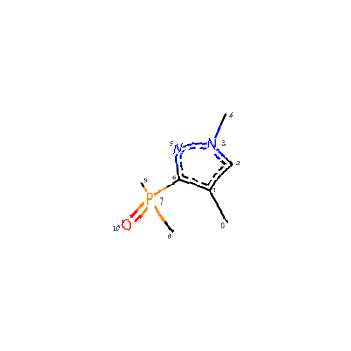 Cc1cn(C)nc1P(C)(C)=O